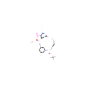 CCOC(=O)N1Cc2cccc(c2)N(C(=O)OC(C)(C)C)C/C=C/CCOc2cc1c([N+](=O)[O-])c(N)n2